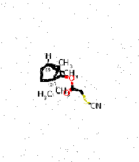 CC1(C)[C@@H]2CC[C@]1(C)C(OC(=O)CSC#N)C2.[CH3]